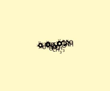 CN(C(C)(C)c1ccc(CN2CC(=O)NC2=O)cc1)S(=O)(=O)c1cccc(OC2CCCC2)c1